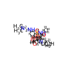 CN(C)CCNc1cccc(S(=O)(=O)N[C@H](OC2CCCC2)[C@H](O)[C@H](Cc2ccccc2)N(C(=O)O)C2CO[C@H]3OCC[C@@H]23)c1